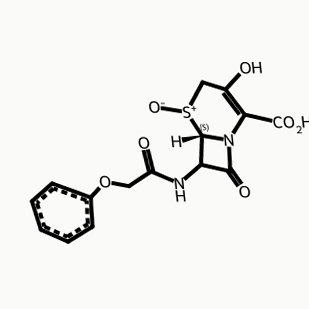 O=C(COc1ccccc1)NC1C(=O)N2C(C(=O)O)=C(O)C[S+]([O-])[C@@H]12